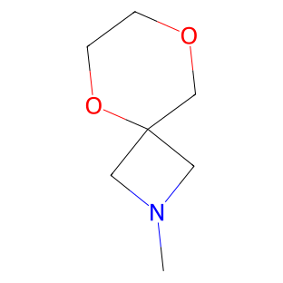 CN1CC2(COCCO2)C1